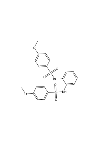 COc1ccc(S(=O)(=O)Nc2ccccc2NS(=O)(=O)c2ccc(OC)cc2)cc1